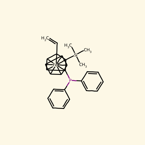 C=C[C]12[CH]3[CH]4[C]5(P(c6ccccc6)c6ccccc6)[C]1([Si](C)(C)C)[Fe]34251678[CH]2[CH]1[CH]6[CH]7[CH]28